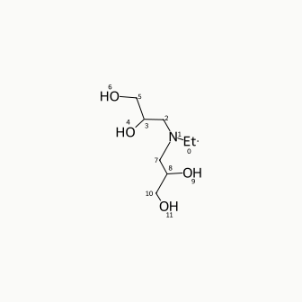 C[CH]N(CC(O)CO)CC(O)CO